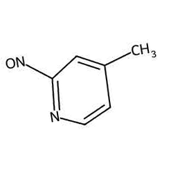 Cc1ccnc(N=O)c1